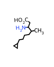 CC(CCCCC1CC1)C(N)CC(=O)O